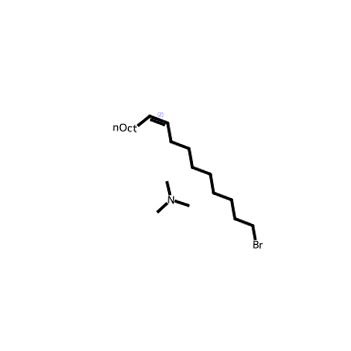 CCCCCCCC/C=C\CCCCCCCCBr.CN(C)C